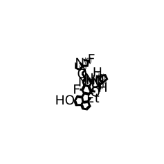 CCc1cccc2cc(O)cc(-c3cc4c5c(nc(OC[C@@]67CCCN6C[C@@H](F)C7)nc5c3F)N3C[C@H]5CC[C@H](N5)[C@@H]3CO4)c12